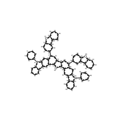 c1ccc(-n2c3ccccc3c3cc4c(cc32)c(-c2ccc3oc5ccccc5c3c2)cc2c3cc(-c5ccc6oc7ccccc7c6c5)c5cc6c(cc5c3oc42)c2ccccc2n6-c2ccccc2)cc1